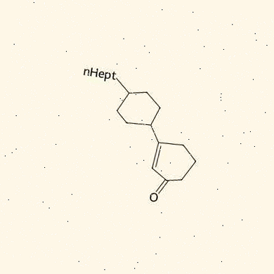 CCCCCCCC1CCC(C2=CC(=O)CCC2)CC1